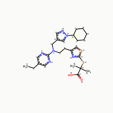 CCc1cnc(N(CCc2csc(SC(C)(C)C(=O)O)n2)Cc2cnn(C3CCCCC3)c2)nc1